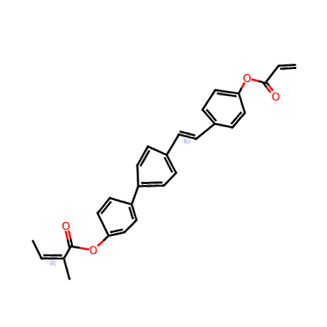 C=CC(=O)Oc1ccc(/C=C/c2ccc(-c3ccc(OC(=O)/C(C)=C\C)cc3)cc2)cc1